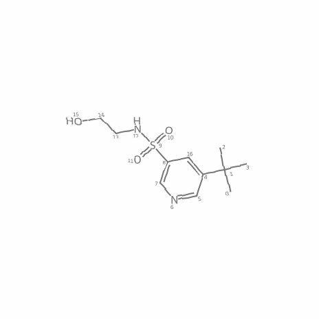 CC(C)(C)c1cncc(S(=O)(=O)NCCO)c1